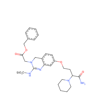 CCOC(=O)NC1=Nc2cc(OCCC(C(N)=O)N3CCCCC3)ccc2CN1CC(=O)OCc1ccccc1